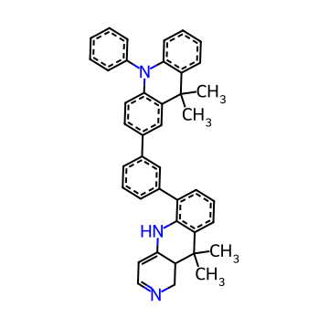 CC1(C)c2ccccc2N(c2ccccc2)c2ccc(-c3cccc(-c4cccc5c4NC4=CC=NCC4C5(C)C)c3)cc21